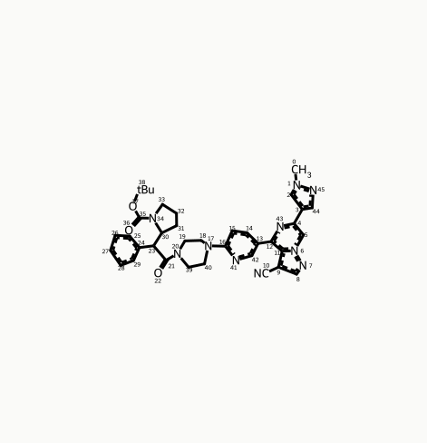 Cn1cc(-c2cn3ncc(C#N)c3c(-c3ccc(N4CCN(C(=O)C(c5ccccc5)C5CCCN5C(=O)OC(C)(C)C)CC4)nc3)n2)cn1